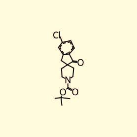 CC(C)(C)OC(=O)N1CCC2(CC1)Cc1cc(Cl)ccc1C2=O